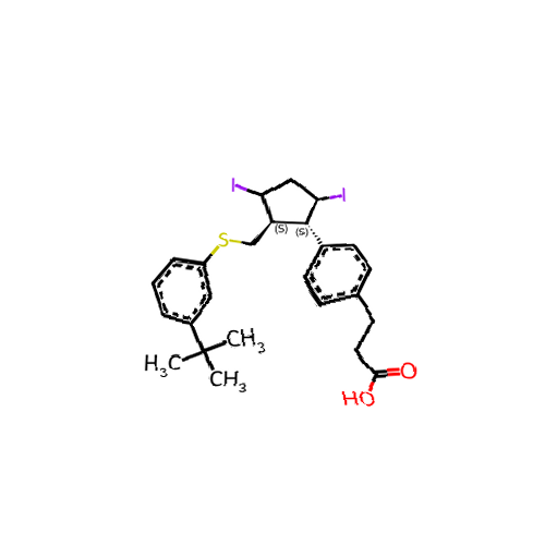 CC(C)(C)c1cccc(SC[C@H]2C(I)CC(I)[C@@H]2c2ccc(CCC(=O)O)cc2)c1